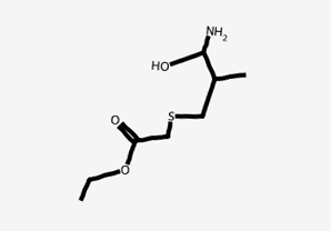 CCOC(=O)CSCC(C)C(N)O